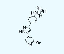 [2H]C([2H])([2H])Nc1ccc(-c2cc(-c3ccnc(Br)c3)[nH]n2)cc1